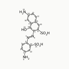 Nc1ccc(N=Nc2c(S(=O)(=O)O)cc3ccc(N)cc3c2O)c(S(=O)(=O)O)c1